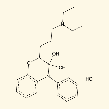 CCN(CC)CCCC1Oc2ccccc2N(c2ccccc2)S1(O)O.Cl